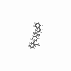 N#Cc1cccnc1N1CCC(S(=O)(=O)c2ccc3ccccc3n2)CC1